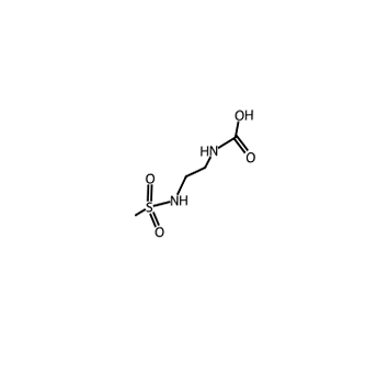 CS(=O)(=O)NCCNC(=O)O